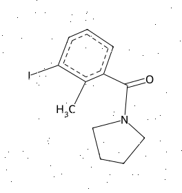 Cc1c(I)cccc1C(=O)N1CCCC1